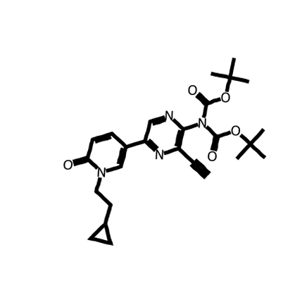 C#Cc1nc(-c2ccc(=O)n(CCC3CC3)c2)cnc1N(C(=O)OC(C)(C)C)C(=O)OC(C)(C)C